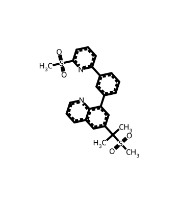 CC(C)(c1cc(-c2cccc(-c3cccc(S(C)(=O)=O)n3)c2)c2ncccc2c1)S(C)(=O)=O